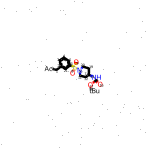 CC(=O)Cc1cccc(S(=O)(=O)N2CCC(NC(=O)OC(C)(C)C)CC2)c1